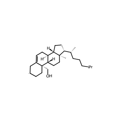 CC(C)CCC[C@@H](C)[C@H]1CC[C@H]2[C@@H]3CC=C4C[CH]CC[C@]4(CO)[C@H]3CC[C@]12C